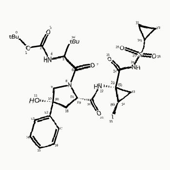 CC(C)(C)OC(=O)NC(C(=O)N1C[C@](O)(c2ccccc2)C[C@H]1C(=O)N[C@]1(C(=O)NS(=O)(=O)C2CC2)C[C@H]1I)C(C)(C)C